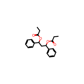 CCC(=O)OC(CC(OC(=O)CC)c1ccccc1)c1ccccc1